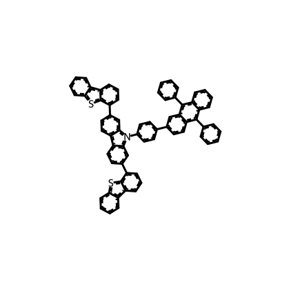 c1ccc(-c2c3ccccc3c(-c3ccccc3)c3cc(-c4ccc(-n5c6cc(-c7cccc8c7sc7ccccc78)ccc6c6ccc(-c7cccc8c7sc7ccccc78)cc65)cc4)ccc23)cc1